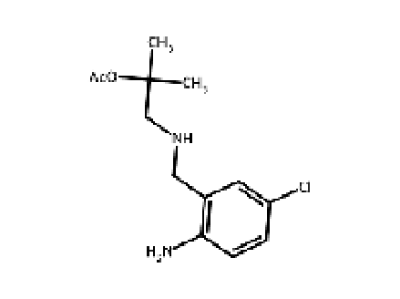 CC(=O)OC(C)(C)CNCc1cc(Cl)ccc1N